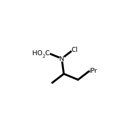 CC(C)CC(C)N(Cl)C(=O)O